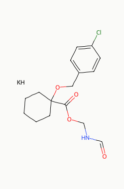 O=CNCOC(=O)C1(OCc2ccc(Cl)cc2)CCCCC1.[KH]